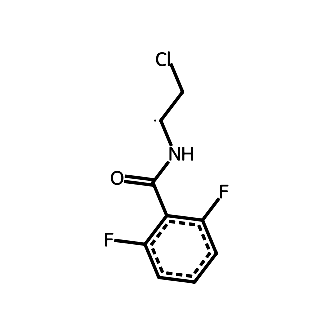 O=C(N[CH]CCl)c1c(F)cccc1F